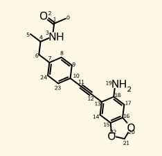 CC(=O)NC(C)Cc1ccc(C#Cc2cc3c(cc2N)OCO3)cc1